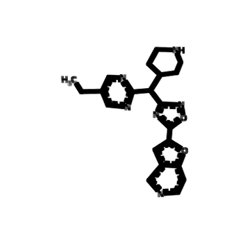 CCc1cnc(C(c2noc(-c3cc4cnccc4o3)n2)C2CCNCC2)nc1